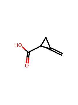 C=C1CC1C(=O)O